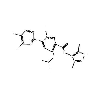 Cc1n[nH]c(Cl)c1NC(=O)c1cc(F)c(-c2ccc(Cl)c(N)n2)cc1O[C@@H](C)C(F)(F)F